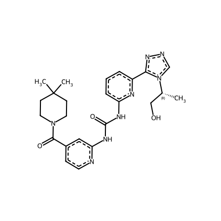 C[C@H](CO)n1cnnc1-c1cccc(NC(=O)Nc2cc(C(=O)N3CCC(C)(C)CC3)ccn2)n1